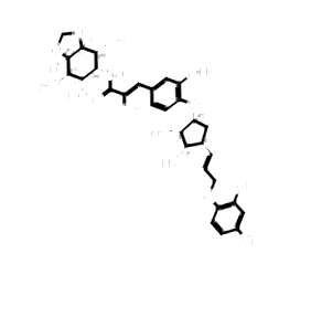 CC(=Cc1ccc(O[C@@H]2C[C@@H](C=CCOc3ccc(Cl)cc3Cl)[C@@H](O)[C@@H]2O)c(O)c1)C(=O)N[C@@H]1[C@H](O)[C@@H](O)[C@H]2OCO[C@H]2[C@@H]1O